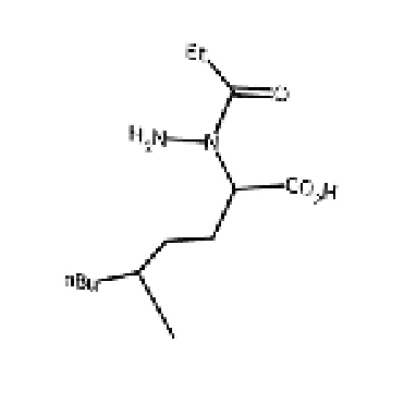 CCCCC(C)CCC(C(=O)O)N(N)C(=O)CC